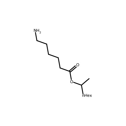 CCCCCCC(C)OC(=O)CCCCCN